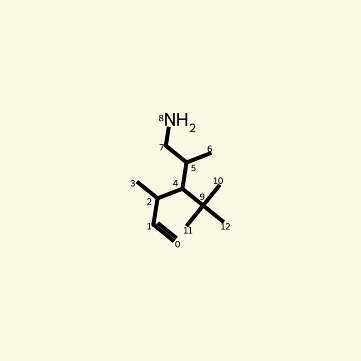 C=CC(C)C(C(C)CN)C(C)(C)C